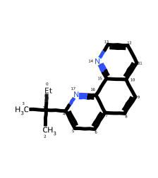 CCC(C)(C)c1ccc2ccc3cccnc3c2n1